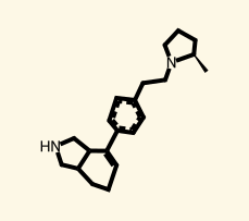 C[C@@H]1CCCN1CCc1ccc(C2=CCCC3CNCC23)cc1